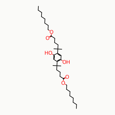 CCCCCCCCOC(=O)CCCC(C)(C)c1cc(O)c(C(C)(C)CCCC(=O)OCCCCCCCC)cc1O